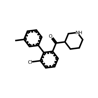 Cc1cccc(-c2c(Cl)cccc2C(=O)C2CCCNC2)c1